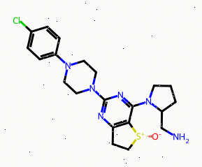 NCC1CCCN1c1nc(N2CCN(c3ccc(Cl)cc3)CC2)nc2c1[S@+]([O-])CC2